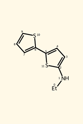 CCNc1ccc(-c2cccs2)s1